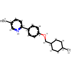 CCCCc1ccc(-c2ccc(OCC3CCC(CC)CC3)cc2)nc1